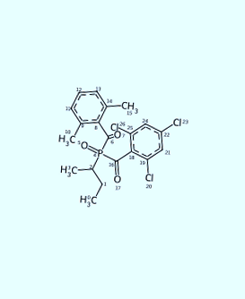 CCC(C)P(=O)(C(=O)c1c(C)cccc1C)C(=O)c1c(Cl)cc(Cl)cc1Cl